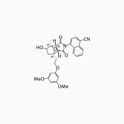 COc1cc(OC)cc(OCC[C@]23CC(O)[C@](C)(O2)[C@@H]2C(=O)N(c4ccc(C#N)c5ccccc45)C(=O)[C@@H]23)c1